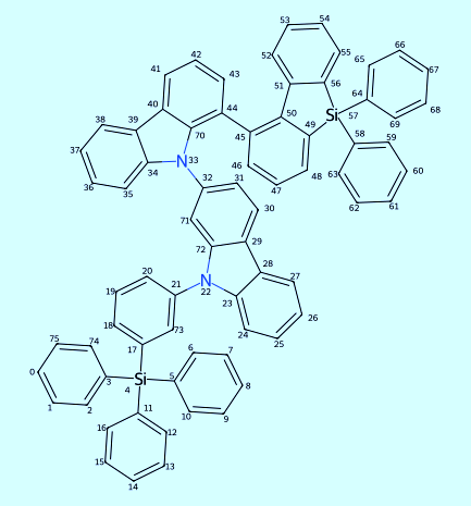 c1ccc([Si](c2ccccc2)(c2ccccc2)c2cccc(-n3c4ccccc4c4ccc(-n5c6ccccc6c6cccc(-c7cccc8c7-c7ccccc7[Si]8(c7ccccc7)c7ccccc7)c65)cc43)c2)cc1